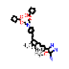 CC1(C)CC(/C=C/c2ccc(N(CCOC(=O)c3ccccc3)CCOC(=O)c3ccccc3)cc2)=CC(=C/C=C/C2C(C#N)C(=C(C#N)C#N)OC2(C)C)/C1